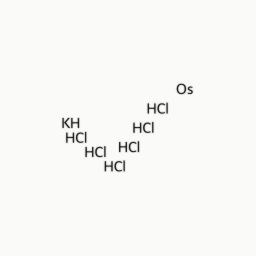 Cl.Cl.Cl.Cl.Cl.Cl.[KH].[Os]